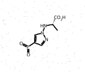 C[C@H](Nn1cc(P(=O)=O)cn1)C(=O)O